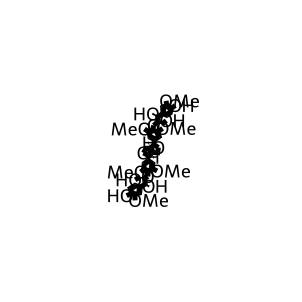 COc1cc([C@H](O)[C@H](CO)Oc2c(OC)cc([C@@H]3OC[C@@H]4[C@H]3CO[C@H]4c3cc(OC)c(O[C@@H](CO)[C@@H](O)c4ccc(O)c(OC)c4)c(OC)c3)cc2OC)ccc1O